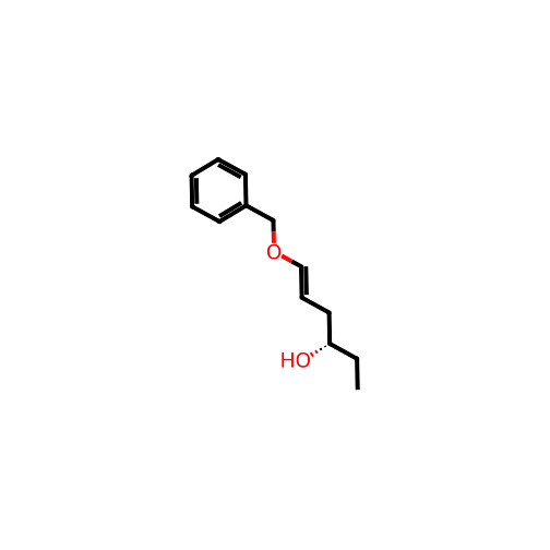 CC[C@H](O)CC=COCc1ccccc1